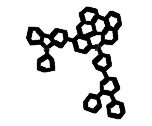 c1ccc(-c2ccc(-c3ccc(N(c4ccc(-c5ccc6c7ccccc7n(-c7ccccc7)c6c5)cc4)c4ccccc4-c4cccc5cccc(-c6ccccc6)c45)cc3)cc2-c2ccccc2)cc1